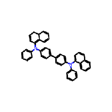 C1=CC2=C(N(c3ccccc3)c3ccc(-c4ccc(N(c5ccccc5)c5cccc6ccccc56)cc4)cc3)C=CCC2C=C1